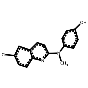 CN(c1ccc(O)cc1)c1ccc2cc(Cl)ccc2n1